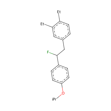 CCc1ccc(CC(F)c2ccc(OC(C)C)cc2)cc1CC